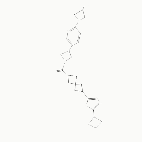 O=C(N1CC(c2ccc(N3CC(C(F)(F)F)C3)nc2)C1)N1CC2(CC(c3nnc(C4CCC4)[nH]3)C2)C1